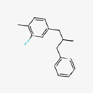 Cc1ccc(CC(C)Cc2ccccc2)cc1F